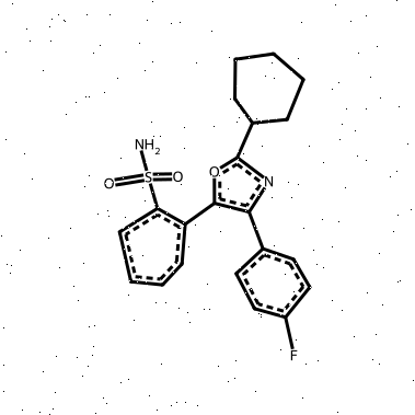 NS(=O)(=O)c1ccccc1-c1oc(C2CCCCC2)nc1-c1ccc(F)cc1